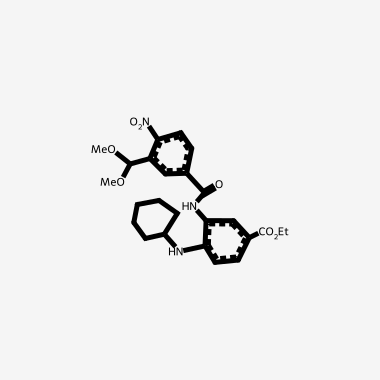 CCOC(=O)c1ccc(NC2CCCCC2)c(NC(=O)c2ccc([N+](=O)[O-])c(C(OC)OC)c2)c1